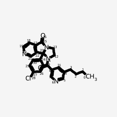 CCCCc1cncc(C(=O)N2CCN3C(=O)c4ccncc4C23c2ccc(Cl)cc2)c1